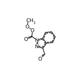 COOC(=O)n1nc(C=O)c2ccccc21